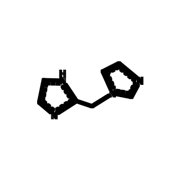 c1cn(Cc2ncc[nH]2)cn1